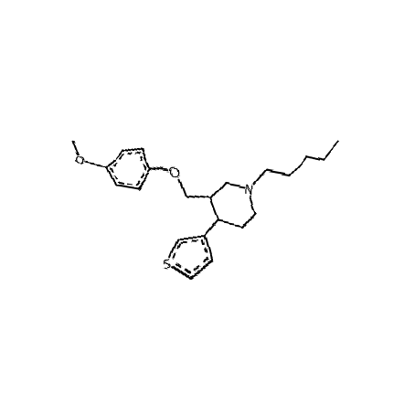 CCCCCN1CCC(c2ccsc2)C(COc2ccc(OC)cc2)C1